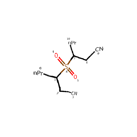 CCCC(CC#N)S(=O)(=O)C(CC#N)CCC